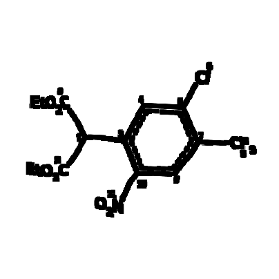 CCOC(=O)C(C(=O)OCC)c1cc(Cl)c(C(F)(F)F)cc1[N+](=O)[O-]